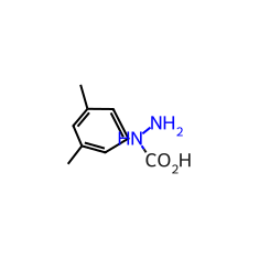 Cc1cccc(C)c1.NNC(=O)O